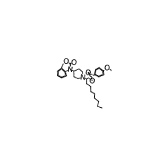 CCCCCCCCC(N1CCC(N2C(=O)OCc3ccccc32)CC1)S(=O)(=O)c1ccc(OC)cc1